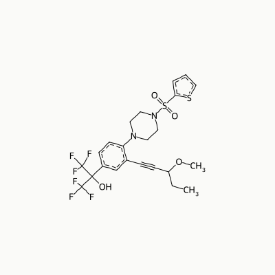 CCC(C#Cc1cc(C(O)(C(F)(F)F)C(F)(F)F)ccc1N1CCN(S(=O)(=O)c2cccs2)CC1)OC